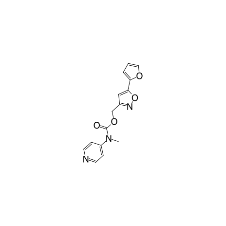 CN(C(=O)OCc1cc(-c2ccco2)on1)c1ccncc1